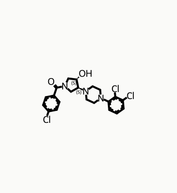 O=C(c1ccc(Cl)cc1)N1C[C@H](O)[C@@H](N2CCN(c3cccc(Cl)c3Cl)CC2)C1